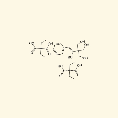 CCC(CC)(C(=O)O)C(=O)O.CCC(CC)(C(=O)O)C(=O)O.OCC(CO)(CO)C(O)=Cc1ccccc1